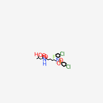 CC(C)C[C@H](NC(=O)CCCC[C@@H](C)N(c1cc(Cl)ccc1F)S(=O)(=O)c1ccc(Cl)cc1)C(=O)O